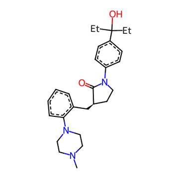 CCC(O)(CC)c1ccc(N2CC[C@@H](Cc3ccccc3N3CCN(C)CC3)C2=O)cc1